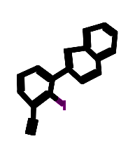 C#Cc1cccc(-c2ccc3ccccc3c2)c1I